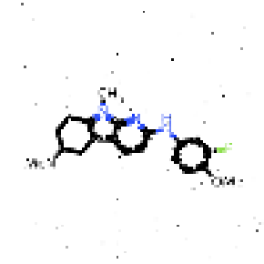 CNC1CCc2c(c3ccc(Nc4ccc(OC)c(F)c4)nc3n2C)C1